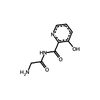 NCC(=O)NC(=O)c1ncccc1O